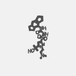 CN(C)CCn1nc(S(=O)(=O)NC(=O)Nc2c3c(cc4c2CCC4)CCC3)cc1C(C)(C)O